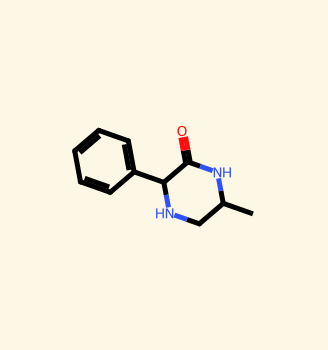 CC1CNC(c2ccccc2)C(=O)N1